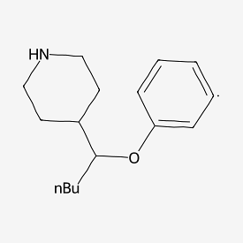 CCCCC(Oc1c[c]ccc1)C1CCNCC1